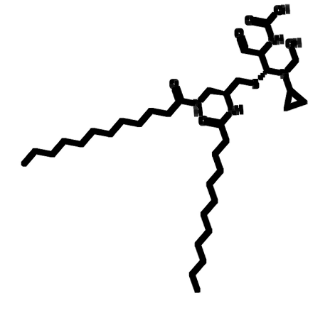 CCCCCCCCCCCC(=O)NC[C@@H](CS[C@H](C(C=O)NC(=O)O)N(CO)C1CC1)NC(=O)CCCCCCCCCCC